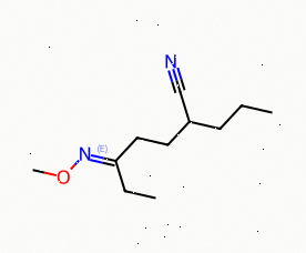 CCCC(C#N)CC/C(CC)=N/OC